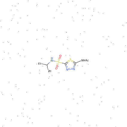 CCC(NS(=O)(=O)c1nnc(NC(C)=O)s1)C(C)C